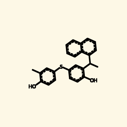 Cc1cc(Sc2ccc(O)c(C(C)c3cccc4ccccc34)c2)ccc1O